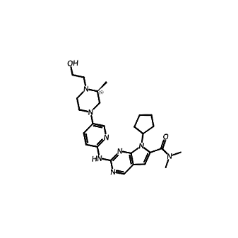 C[C@H]1CN(c2ccc(Nc3ncc4cc(C(=O)N(C)C)n(C5CCCC5)c4n3)nc2)CCN1CCO